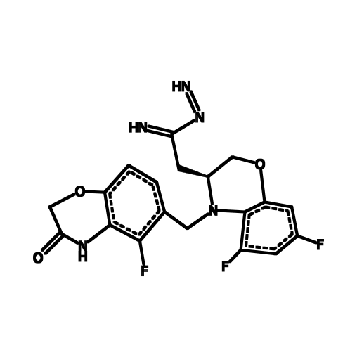 N=NC(=N)C[C@H]1COc2cc(F)cc(F)c2N1Cc1ccc2c(c1F)NC(=O)CO2